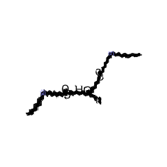 CCCCCCCC/C=C\CCCCCCCC(=O)OCCCCCCC(O)(CCCCCCOC(=O)CCCCCCC/C=C\CCCCCCCC)CCCN(C)C